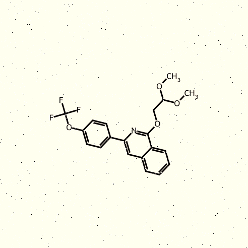 COC(COc1nc(-c2ccc(OC(F)(F)F)cc2)cc2ccccc12)OC